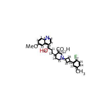 COc1ccc2nccc([C@@H](O)CC[C@@H]3CCN(C4CC(c5cc(C)ccc5F)C4)C[C@@H]3C(=O)O)c2c1